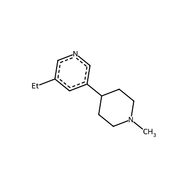 CCc1cncc(C2CCN(C)CC2)c1